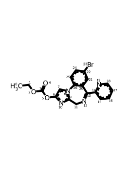 CCOC(=O)Oc1cn2c(n1)CN=C(c1ccccn1)c1cc(Br)ccc1-2